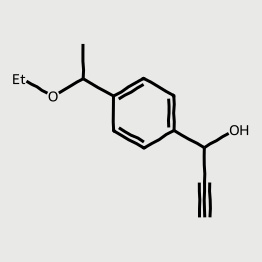 C#CC(O)c1ccc(C(C)OCC)cc1